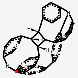 c1cc2ccc1-c1ccc(cc1)N1c3ccc(cc3)[C@H]3C4c5ccc(cc5)N2c2ccc(cc2)[C@H]4[C@H]3c2ccc1cc2